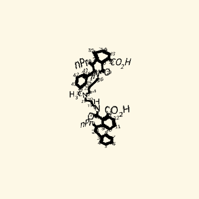 CCCC(Cc1ccccc1)c1cccc(C(=O)O)c1C(=O)NCCCN(C)CCCNC(=O)c1c(C(=O)O)cccc1C(CCC)Cc1ccccc1